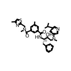 Cc1cc(C(=O)N[C@@H](Cc2ccccc2)[C@H](O)CN(C)c2cncc(C(C)C)c2)cc(C(=O)N(C)Cc2nc(C)cs2)c1